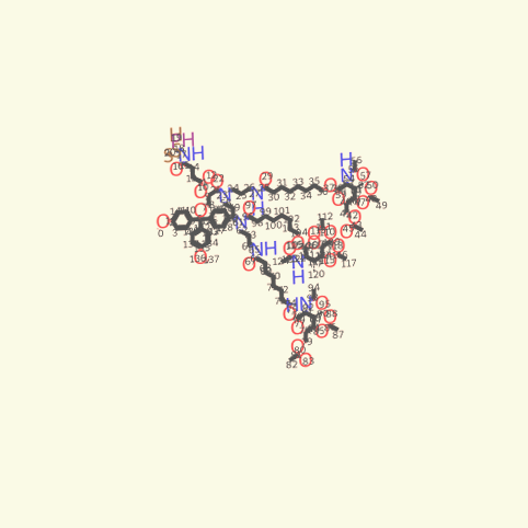 COc1ccc(C(OCC(OC(=O)CCC(=O)N[SH](=P)=S)C(=O)N(CCCNC(=O)CCCCCCCO[C@@H]2OC(COC(C)=O)[C@H](OC(C)=O)[C@H](C)C2NC(C)=O)CCCN(CCCNC(=O)CCCCCCCO[C@@H]2OC(COC(C)=O)[C@H](OC(C)=O)[C@H](C)C2NC(C)=O)C(=O)CCCCCCCO[C@@H]2OC(COC(C)=O)[C@H](OC(C)=O)[C@H](C)C2NC(C)=O)(c2ccccc2)c2ccc(OC)cc2)cc1